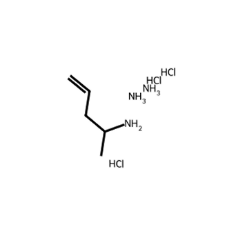 C=CCC(C)N.Cl.Cl.Cl.N.N